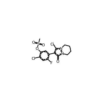 CS(=O)(=O)Oc1cc(-c2c(Cl)n3n(c2=O)CCCC3)c(F)cc1Cl